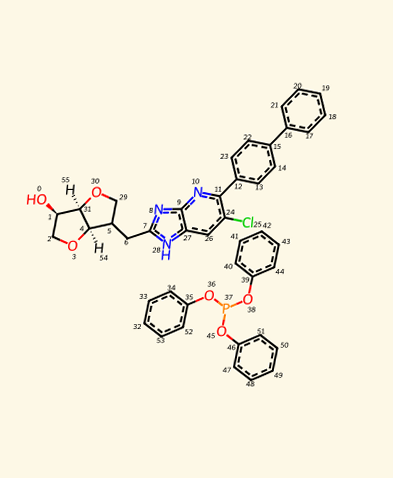 O[C@@H]1CO[C@@H]2C(Cc3nc4nc(-c5ccc(-c6ccccc6)cc5)c(Cl)cc4[nH]3)CO[C@H]12.c1ccc(OP(Oc2ccccc2)Oc2ccccc2)cc1